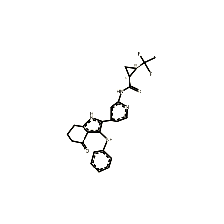 O=C1CCCc2[nH]c(-c3ccnc(NC(=O)[C@H]4C[C@H]4C(F)(F)F)c3)c(Nc3ccccc3)c21